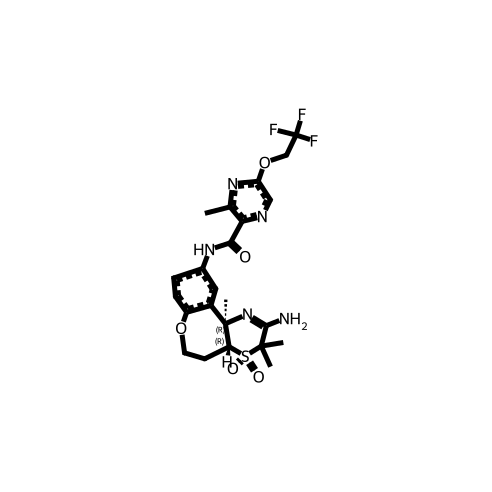 Cc1nc(OCC(F)(F)F)cnc1C(=O)Nc1ccc2c(c1)[C@@]1(C)N=C(N)C(C)(C)S(=O)(=O)[C@@H]1CCO2